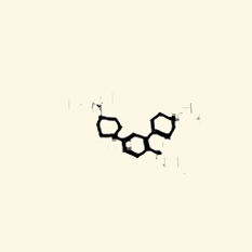 CN(C)C1CCC(O)(c2ccc(C(N)=O)c(C3=CCC(C)(C)CC3)c2)CC1